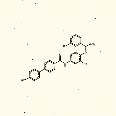 Cc1cc(NC(=O)c2ccc(-c3ccc(O)cc3)cc2)ccc1OC(C)c1cccc(Br)c1